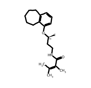 CC(C)=C(C)C(=O)NCC[C@H](I)Oc1cccc2c1CCCCC2